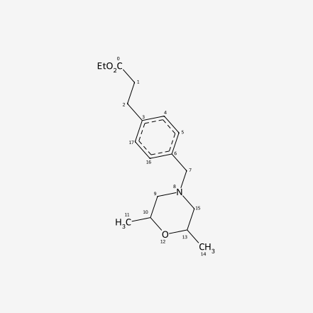 CCOC(=O)CCc1ccc(CN2CC(C)OC(C)C2)cc1